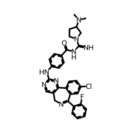 CN(C)C1CCN(C(=N)NC(=O)c2ccc(Nc3ncc4c(n3)-c3ccc(Cl)cc3C(c3ccccc3F)=NC4)cc2)C1